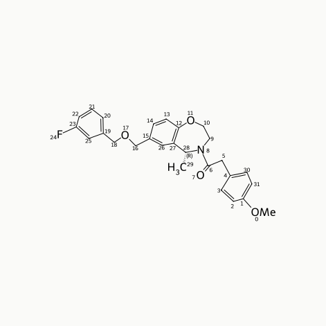 COc1ccc(CC(=O)N2CCOc3ccc(COCc4cccc(F)c4)cc3[C@H]2C)cc1